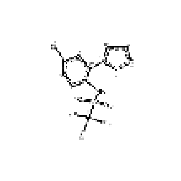 O=S(=O)(Nc1ccc(Cl)cc1-c1ccon1)C(F)(F)F